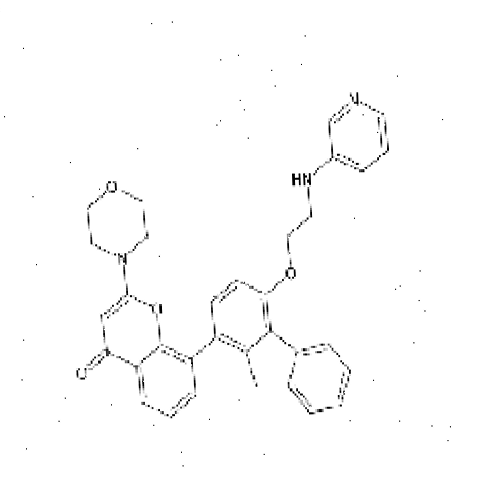 O=c1cc(N2CCOCC2)oc2c(-c3ccc(OCCNc4cccnc4)c4c3Cc3ccccc3-4)cccc12